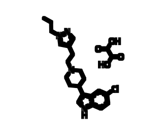 CCCn1cc(CCN2CCC(c3c[nH]c4ccc(Cl)cc34)CC2)cn1.O=C(O)C(=O)O